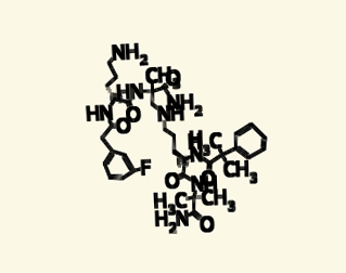 CC(C)(NC(=O)[C@@H](CCCNCC(C)(NC(=O)[C@@H](CCCN)NC(=O)Cc1cccc(F)c1)C(N)=O)NC(=O)C(C)(C)c1ccccc1)C(N)=O